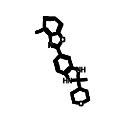 Cc1cccc2oc(-c3ccc4c(c3)NC(C)(C3CCOCC3)N4)nc12